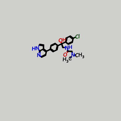 CN(C)CC(=O)NCC(O)(c1ccc(Cl)cc1)c1ccc(-c2ccnc3[nH]ccc23)cc1